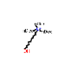 CCCCCCCCCCCC[N+](CCCCCCCCCCCC)(CCCCCCCCCCCC)CCCCCCCCCCCCO